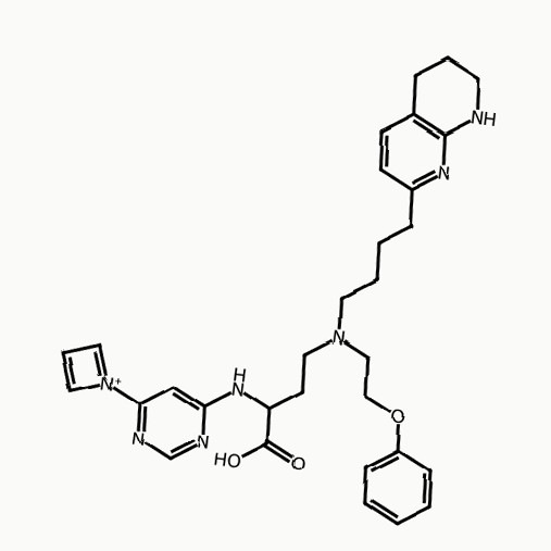 O=C(O)C(CCN(CCCCc1ccc2c(n1)NCCC2)CCOc1ccccc1)Nc1cc([N+]2=CC=C2)ncn1